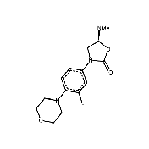 CN[C@@H]1CN(c2ccc(N3CCOCC3)c(F)c2)C(=O)O1